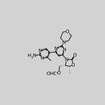 Cc1nc(N)ncc1-c1cc(N2C(=O)O[C@H](C)[C@@H]2COC=O)nc(N2CCOCC2)n1